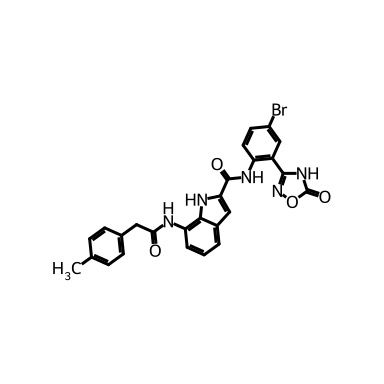 Cc1ccc(CC(=O)Nc2cccc3cc(C(=O)Nc4ccc(Br)cc4-c4noc(=O)[nH]4)[nH]c23)cc1